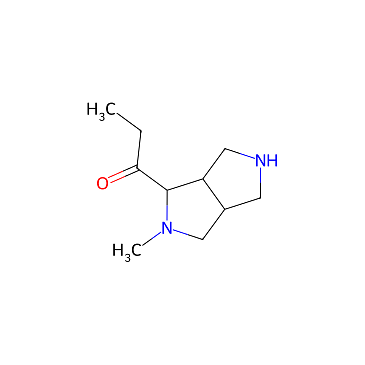 CCC(=O)C1C2CNCC2CN1C